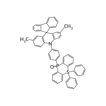 Cc1ccc2c(c1)C1(c3ccccc3-c3ccccc31)c1cc(C)ccc1N2c1ccc(P2(=O)c3ccccc3S(c3ccccc3)(c3ccccc3)c3ccccc32)cc1